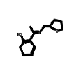 C/C(=N\CC1CCCO1)C1=C(O)CCC=C1